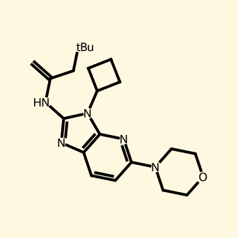 C=C(CC(C)(C)C)Nc1nc2ccc(N3CCOCC3)nc2n1C1CCC1